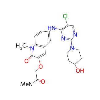 CNC(=O)COc1cc2cc(Nc3nc(N4CCC(O)CC4)ncc3Cl)ccc2n(C)c1=O